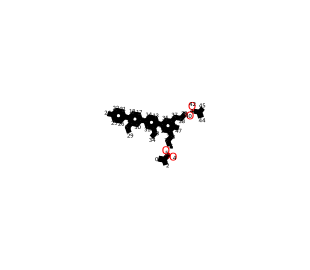 C=C(C)C(=O)OCCCc1cc(-c2ccc(-c3ccc(-c4ccc(C)cc4)c(CC)c3)cc2CC)cc(CCCOC(=O)C(=C)C)c1C